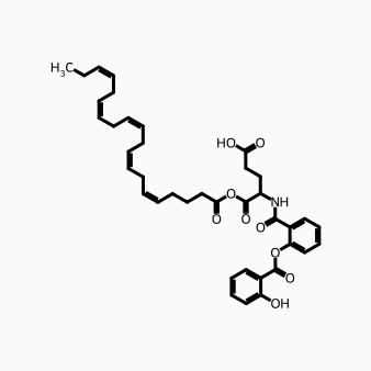 CC/C=C\C/C=C\C/C=C\C/C=C\C/C=C\CCCC(=O)OC(=O)C(CCC(=O)O)NC(=O)c1ccccc1OC(=O)c1ccccc1O